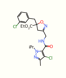 CCOC(=O)C1(Cc2cccc(Cl)c2)CC(CNC(=O)c2c(Cl)c(C)nn2C(C)C)=NO1